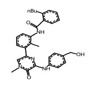 CCCCc1ccccc1C(=O)Nc1cccc(-c2cn(C)c(=O)c(Nc3ccc(CO)cc3)n2)c1C